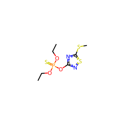 CCOP(=S)(OCC)Oc1nsc(SC)n1